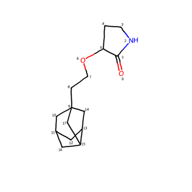 O=C1NCCC1OCCC12CC3CC(C1)C(C3)C2